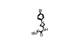 CC(C)(C)OC(=O)NC1CN(c2ccc(Br)cc2)C1